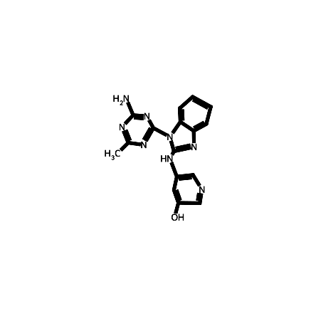 Cc1nc(N)nc(-n2c(Nc3cncc(O)c3)nc3ccccc32)n1